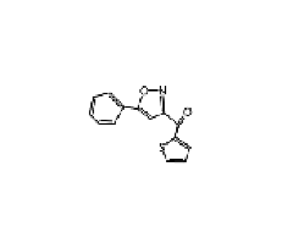 O=C(c1cc(-c2ccccc2)on1)c1cccs1